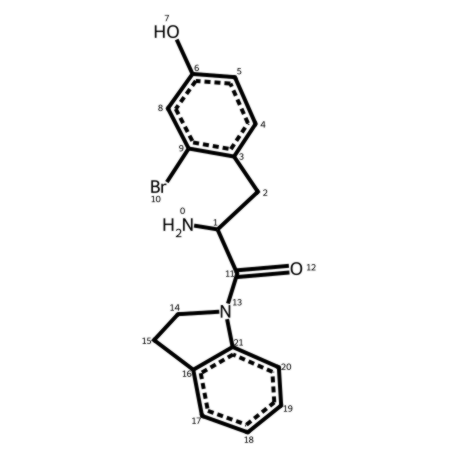 NC(Cc1ccc(O)cc1Br)C(=O)N1CCc2ccccc21